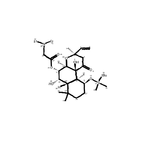 C=C[C@@]1(C)CC(=O)[C@]2(O)[C@@]3(C)[C@@H](O[Si](C)(C)C(C)(C)C)CCC(C)(C)[C@@H]3[C@H](O)[C@H](OC(=O)CN(CC)CC)[C@@]2(C)O1